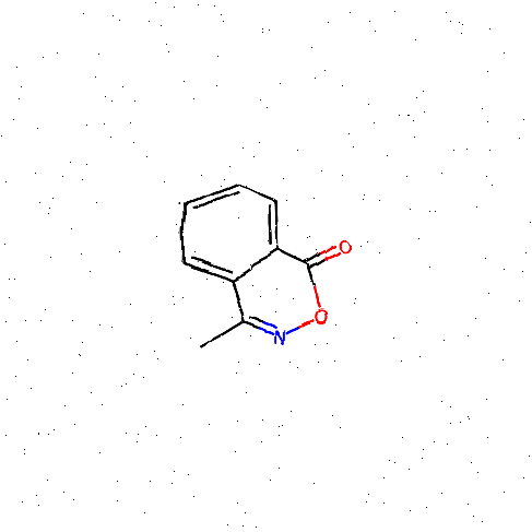 Cc1noc(=O)c2cc[c]cc12